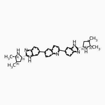 C[C@@H]1C[C@@H](c2nc3ccc(-c4ccc5nc(-c6ccc7nc([C@@H]8C[C@@H](C)[C@@H](C)N8)[nH]c7c6)ccc5c4)cc3[nH]2)N[C@@H]1C